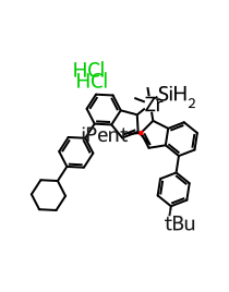 CCCC(C)C1=Cc2c(-c3ccc(C(C)(C)C)cc3)cccc2[CH]1[Zr]([CH3])([CH3])(=[SiH2])[CH]1C(C)=Cc2c(-c3ccc(C4CCCCC4)cc3)cccc21.Cl.Cl